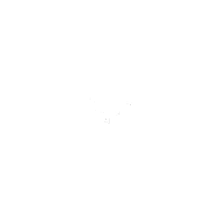 [Al].[Ba].[Ca].[Fe].[Si]